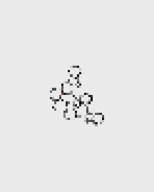 C1=Cc2ccc(-c3nc4ccccc4n3-c3ccccc3)cc2C2(c3ccccc31)c1ccccc1-c1c2ccc2c1oc1ccccc12